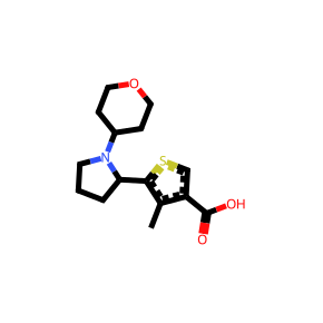 Cc1c(C(=O)O)csc1C1CCCN1C1CCOCC1